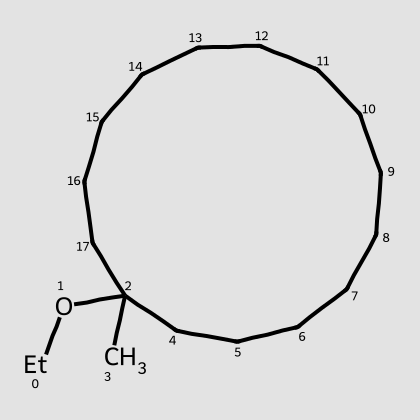 CCOC1(C)CCCCCCCCCCCCCC1